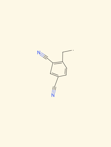 [CH2]Cc1ccc(C#N)cc1C#N